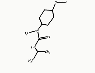 CC(C)NC(=O)N(C)C1CCC(OI)CC1